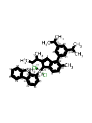 CCC(C)C1=Cc2c(ccc(C)c2-c2cc(C(C)C)cc(C(C)C)c2)[CH]1[Zr]([Cl])([Cl])[c]1cccc2c1[SiH2]c1ccccc1-2